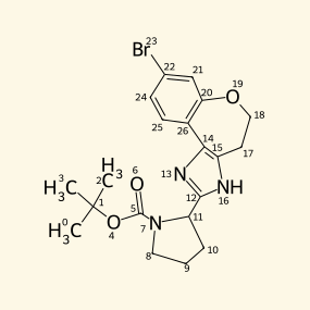 CC(C)(C)OC(=O)N1CCCC1c1nc2c([nH]1)CCOc1cc(Br)ccc1-2